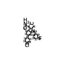 NC(=O)c1cccc2c1c1[c]cc(-c3ccc(Cl)cc3)cc1n2Cc1cccc(F)c1